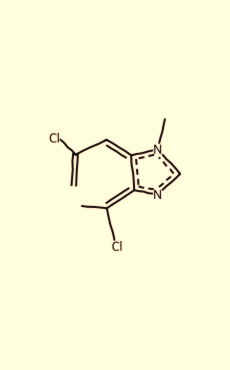 C=C(Cl)/C=c1\c(=C(/C)Cl)ncn1C